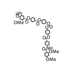 CCCOc1ccc(C(=O)Oc2ccc(C(=O)Oc3ccc(OC(=O)Oc4ccc(OC(=O)c5ccc(NC(=O)c6ccc(OC)cc6OC)cc5)cc4)cc3)cc2)c(OC)c1